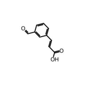 O=Cc1cccc(/C=C/C(=O)O)c1